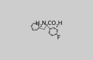 NC(Cc1ccccc1)(C(=O)O)c1ccc(F)cc1